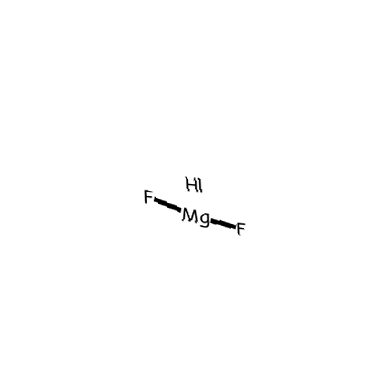 I.[F][Mg][F]